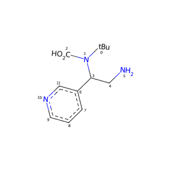 CC(C)(C)N(C(=O)O)C(CN)c1cccnc1